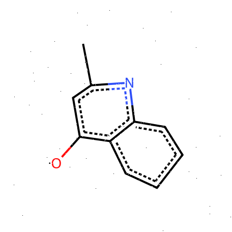 Cc1cc([O])c2ccccc2n1